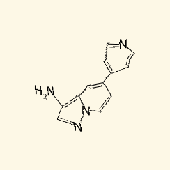 Nc1cnn2ccc(-c3ccncc3)cc12